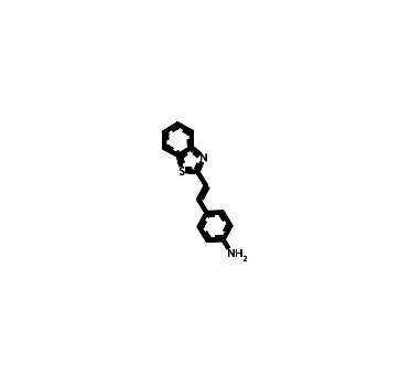 Nc1ccc(C=Cc2nc3ccccc3s2)cc1